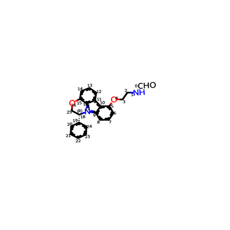 O=CNCCOc1cccc2c1c1cccc3c1n2[C@H](c1ccccc1)CO3